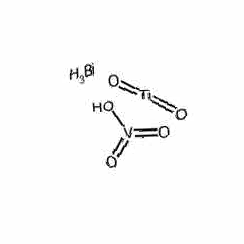 [BiH3].[O]=[Ti]=[O].[O]=[V](=[O])[OH]